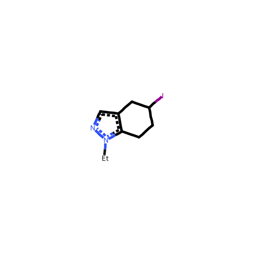 CCn1ncc2c1CCC(I)C2